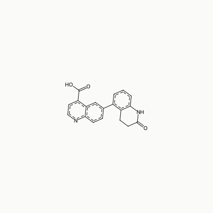 O=C1CCc2c(cccc2-c2ccc3nccc(C(=O)O)c3c2)N1